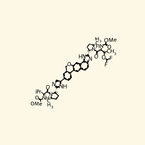 COC(=O)N[C@H](C(=O)N1[C@@H](C)CC[C@H]1c1ncc(-c2ccc3c(c2)COc2cc4c(ccc5nc([C@@H]6CC[C@H](C)N6C(=O)[C@@H](NC(=O)OC)[C@@H](C)OC(F)F)[nH]c54)cc2-3)[nH]1)C(C)C